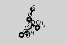 Cc1ccccc1C(CCC(=O)NS(=O)(=O)c1ccccc1)Oc1cc(OCc2ccsc2)ccc1C#N